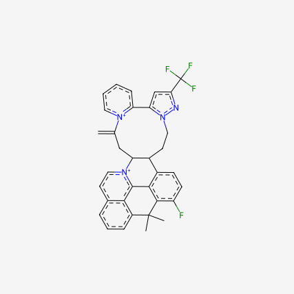 C=C1CC2C(CCn3nc(C(F)(F)F)cc3-c3cccc[n+]31)c1ccc(F)c3c1-c1c4c(cccc4cc[n+]12)C3(C)C